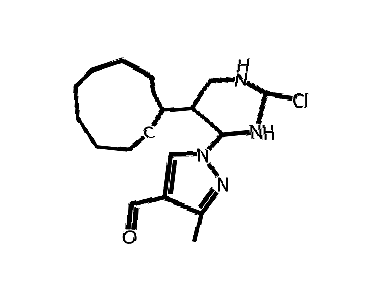 Cc1nn(C2NC(Cl)NCC2C2CCCCCCCC2)cc1C=O